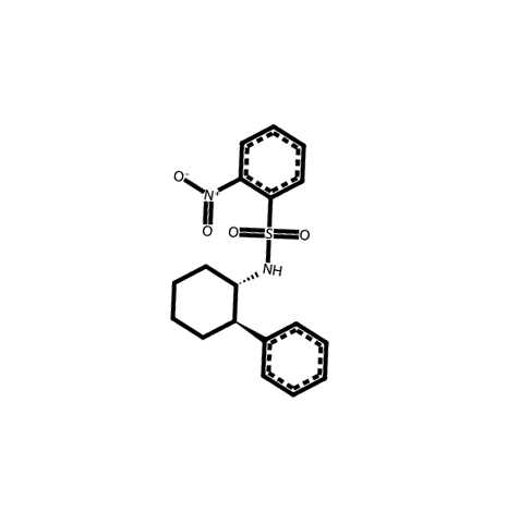 O=[N+]([O-])c1ccccc1S(=O)(=O)N[C@H]1CCCC[C@@H]1c1ccccc1